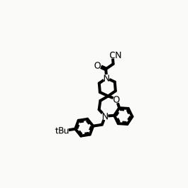 CC(C)(C)c1ccc(CN2CCC3(CCN(C(=O)CC#N)CC3)Oc3ccccc32)cc1